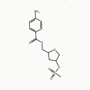 CS(=O)(=O)OC1COC(COC(=O)c2ccc([N+](=O)[O-])cc2)C1